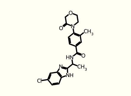 Cc1cc(C(=O)NC(C)c2nc3cc(Cl)ccc3[nH]2)ccc1N1CCOCC1=O